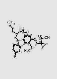 CCCCC1CN(c2ccc(F)cc2)c2cc(SC)c(OCC3(C(=O)O)CC3)cc2S(=O)(=O)N1